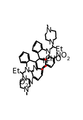 CCC(N1CCN(C)CC1)N(c1ccccc1-c1cccc(C=O)c1-c1ccccc1N(c1ncccc1[N+](=O)[O-])C(CC)N1CCN(C)CC1)c1ncccc1[N+](=O)[O-]